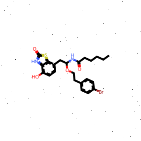 CCCCCC(=O)NC(Cc1ccc(O)c2[nH]c(=O)sc12)OCCc1ccc(Br)cc1